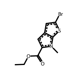 CCOC(=O)c1cc2cc(Br)sc2n1C